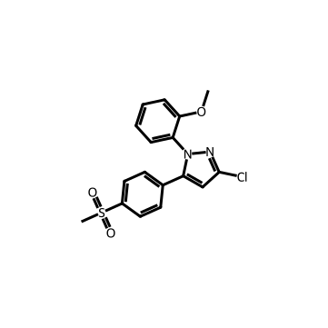 COc1ccccc1-n1nc(Cl)cc1-c1ccc(S(C)(=O)=O)cc1